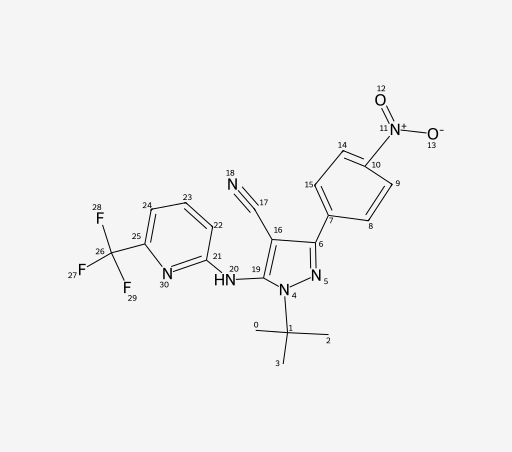 CC(C)(C)n1nc(-c2ccc([N+](=O)[O-])cc2)c(C#N)c1Nc1cccc(C(F)(F)F)n1